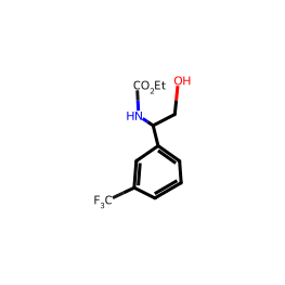 CCOC(=O)NC(CO)c1cccc(C(F)(F)F)c1